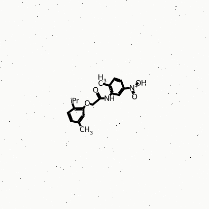 Cc1ccc(C(C)C)c(OCC(=O)Nc2cc([N+](=O)O)ccc2C)c1